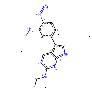 CCNc1ncc2c(-c3ccc(N=N)c(NC)c3)c[nH]c2n1